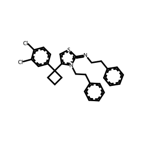 Clc1ccc(C2(c3cs/c(=N/CCc4ccccc4)n3CCc3ccccc3)CCC2)cc1Cl